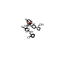 N#Cc1cnc(NCc2ccccc2Cl)nc1NC[C@]12CC3C[C@H](C1)[C@@H](NC1CCC(N4CCC[C@@H]4CO)CC1)[C@@H](C3)C2